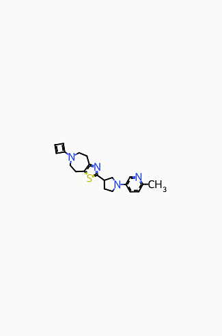 Cc1ccc(N2CCC(c3nc4c(s3)CCN(C3=CC=C3)CC4)C2)cn1